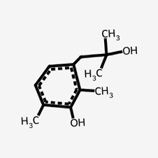 Cc1ccc(CC(C)(C)O)c(C)c1O